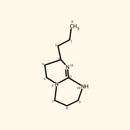 CCCC1CCN2CCCNC2=N1